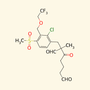 CC(C=O)(Cc1ccc(S(C)(=O)=O)c(COCC(F)(F)F)c1Cl)C(=O)CCCC=O